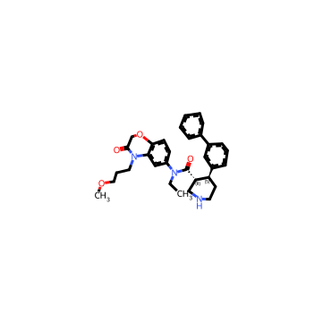 CCN(C(=O)[C@H]1CNCC[C@@H]1c1cccc(-c2ccccc2)c1)c1ccc2c(c1)N(CCCOC)C(=O)CO2